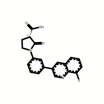 O=C(O)[C@H]1CCN(c2cccc(-c3cnc4c(F)cccc4c3)c2)C1=O